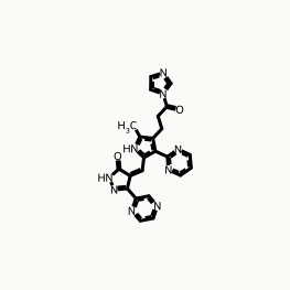 Cc1[nH]c(C=C2C(=O)NN=C2c2cnccn2)c(-c2ncccn2)c1CCC(=O)n1ccnc1